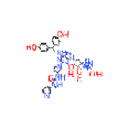 O=C(Nc1cccnc1)N[C@@H]1CCN(c2nc(NCC(c3ccc(O)cc3)c3ccc(O)cc3)c3ncn([C@@H]4C[C@H](n5nnc(CO)n5)[C@@H](O)[C@H]4O)c3n2)C1